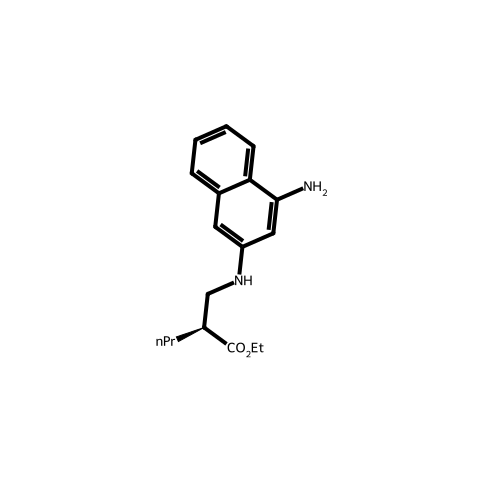 CCC[C@@H](CNc1cc(N)c2ccccc2c1)C(=O)OCC